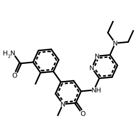 CCN(CC)c1ccc(Nc2cc(-c3cccc(C(N)=O)c3C)cn(C)c2=O)nn1